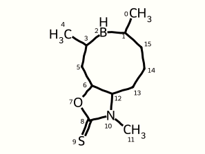 CC1BC(C)CC2OC(=S)N(C)C2CCC1